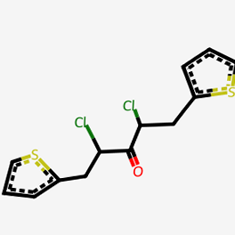 O=C(C(Cl)Cc1cccs1)C(Cl)Cc1cccs1